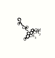 CC12CCC3C(C1CCC2O)[C@H](CCC(=O)OCCCC(=O)N1CCCCC1)CC1CC(=O)CCC13C